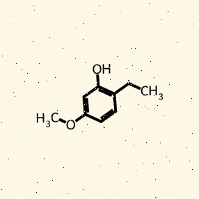 C[CH]c1ccc(OC)cc1O